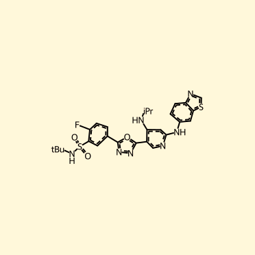 CC(C)Nc1cc(Nc2ccc3ncsc3c2)ncc1-c1nnc(-c2ccc(F)c(S(=O)(=O)NC(C)(C)C)c2)o1